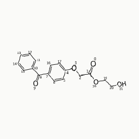 O=C(COc1ccc(C(=O)c2ccccc2)cc1)OCCO